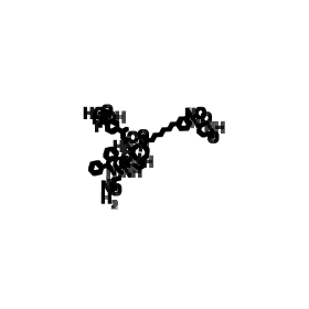 C/C(=C\C(=O)N[C@H]1CN(C(=O)CCCCCCc2ccc3c(c2)n(C)c(=O)n3C2CCC(=O)NC2=O)CC[C@H]2CC[C@@H](C(=O)N[C@@H](CCC(N)=O)C(=O)NC(c3ccccc3)c3ccccc3)N2C1=O)c1ccc(C(F)(F)P(=O)(O)O)cc1